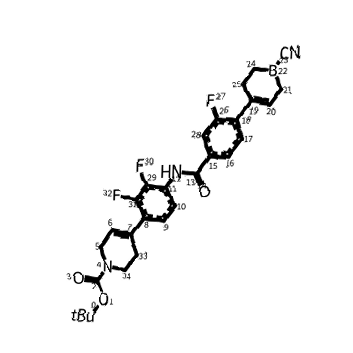 CC(C)(C)OC(=O)N1CC=C(c2ccc(NC(=O)c3ccc(C4=CCB(C#N)CC4)c(F)c3)c(F)c2F)CC1